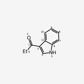 CCC(=O)c1c[nH]c2cc[c]cc12